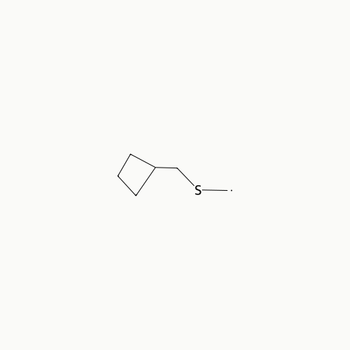 [CH2]SCC1CCC1